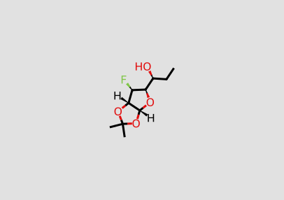 CC[C@H](O)[C@H]1O[C@@H]2OC(C)(C)O[C@@H]2[C@H]1F